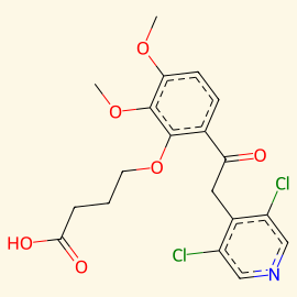 COc1ccc(C(=O)Cc2c(Cl)cncc2Cl)c(OCCCC(=O)O)c1OC